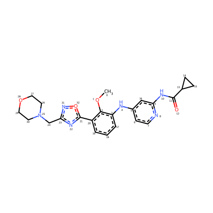 COc1c(Nc2ccnc(NC(=O)C3CC3)c2)cccc1-c1nc(CN2CCOCC2)no1